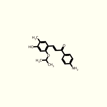 Cc1cc(C=CC(=O)c2ccc(N)cc2)c(OC(C)C)cc1O